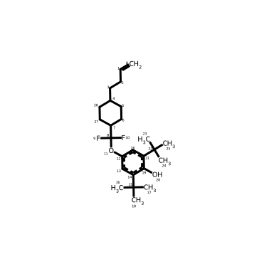 C=CCCC1CCC(C(F)(F)Oc2cc(C(C)(C)C)c(O)c(C(C)(C)C)c2)CC1